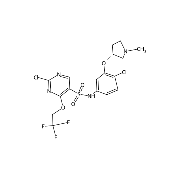 CN1CC[C@@H](Oc2cc(NS(=O)(=O)c3cnc(Cl)nc3OCC(F)(F)F)ccc2Cl)C1